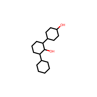 OC1CCC(C2CCCC(C3CCCCC3)C2O)CC1